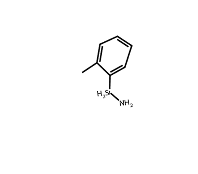 Cc1ccccc1[SiH2]N